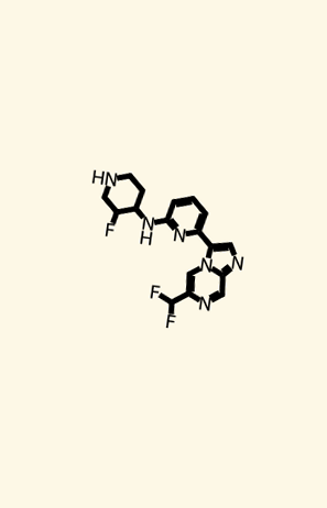 FC(F)c1cn2c(-c3cccc(NC4CCNCC4F)n3)cnc2cn1